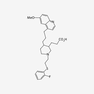 COc1ccc2nccc(CCCC3CCN(CCSc4ccccc4F)CC3CCC(=O)O)c2c1